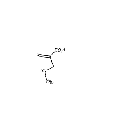 C=C(CNCCCC)C(=O)O